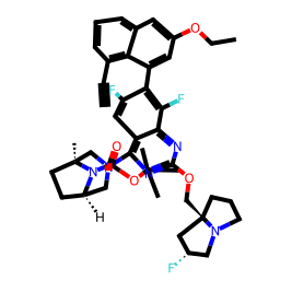 C#Cc1cccc2cc(OCC)cc(-c3c(F)cc4c(N5C[C@H]6CC[C@@](C)(C5)N6C(=O)OC(C)(C)C)nc(OC[C@@]56CCCN5C[C@H](F)C6)nc4c3F)c12